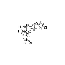 Cc1cc(Cl)ccc1Oc1ccc(-c2nn(C3CCC(C)N(C#N)C3)c(N)c2C(N)=O)cc1